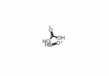 O=C(O)O.[O]=[BiH]